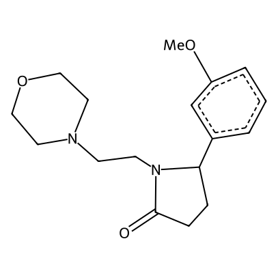 COc1cccc(C2CCC(=O)N2CCN2CCOCC2)c1